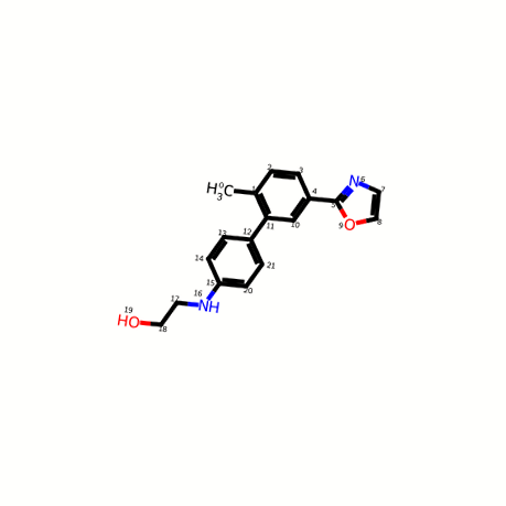 Cc1ccc(-c2ncco2)cc1-c1ccc(NCCO)cc1